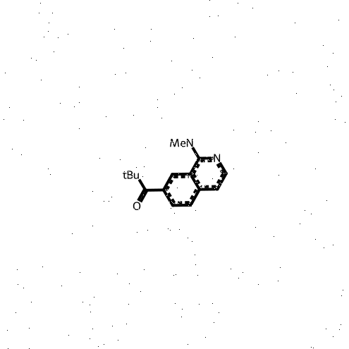 CNc1nccc2ccc(C(=O)C(C)(C)C)cc12